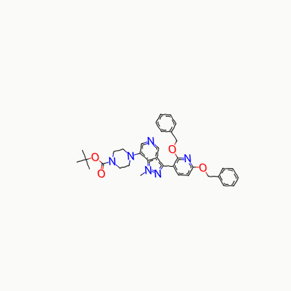 Cn1nc(-c2ccc(OCc3ccccc3)nc2OCc2ccccc2)c2cncc(N3CCN(C(=O)OC(C)(C)C)CC3)c21